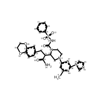 Cc1cc(N2CCN(C(=O)NS(=O)(=O)c3ccccc3)C(C(Cc3ccc4c(c3)OCCO4)C(N)=O)C2)nc(-n2ccnc2)n1